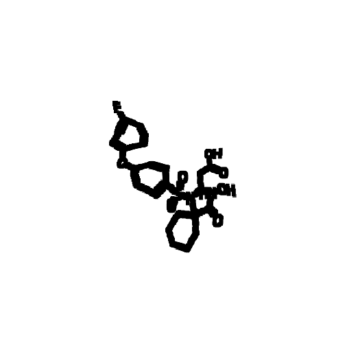 O=C(O)CCN(C1(C(=O)NO)CCCCC1)S(=O)(=O)c1ccc(Oc2ccc(F)cc2)cc1